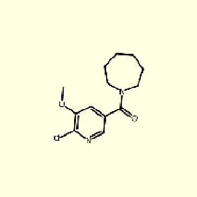 COc1cc(C(=O)N2CCCCCC2)cnc1Cl